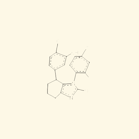 Cc1cc(C2CCCc3nc(S)n(-c4ccc(F)cc4F)c32)ccc1Cl